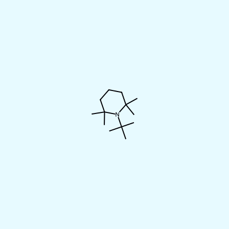 CC(C)(C)N1C(C)(C)CCCC1(C)C